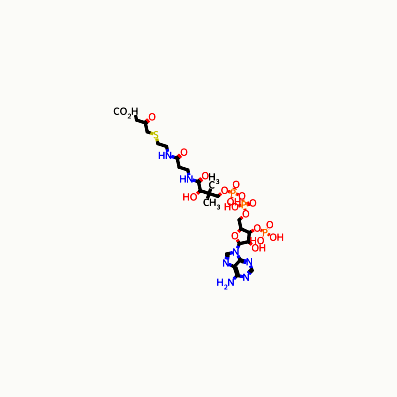 CC(C)(COP(=O)(O)OP(=O)(O)OCC1OC(n2cnc3c(N)ncnc32)C(O)C1OP(=O)(O)O)C(O)C(=O)NCCC(=O)NCCSCC(=O)CC(=O)O